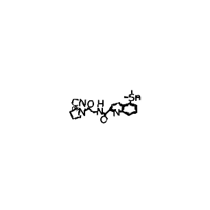 [CH3][Sn]([CH3])([CH3])[c]1cccc2nc(C(=O)NCC(=O)N3CCC[C@H]3C#N)ccc12